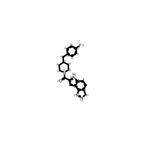 O=C(c1cc2c3c(ccc2[nH]1)CN=N3)N1CCC(Cc2ccc(F)cc2)CC1